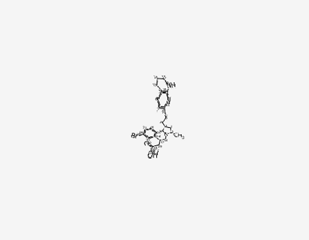 CC1CC(CCc2ccc3c(n2)NCCC3)CN1CC(CC(=O)O)c1cccc(Br)c1